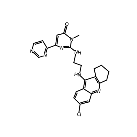 Cn1c(NCCNc2c3c(nc4cc(Cl)ccc24)CCCC3)nc(-c2ccncn2)cc1=O